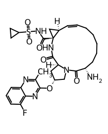 Cc1nc2cccc(F)c2nc1O[C@@H]1C[C@H]2C(=O)N[C@]3(C(=O)NS(=O)(=O)C4CC4)C[C@H]3/C=C\CCCCC[C@H](N)C(=O)N2C1